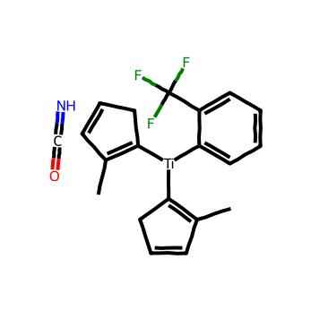 CC1=[C]([Ti]([C]2=C(C)C=CC2)[c]2ccccc2C(F)(F)F)CC=C1.N=C=O